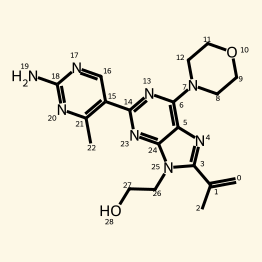 C=C(C)c1nc2c(N3CCOCC3)nc(-c3cnc(N)nc3C)nc2n1CCO